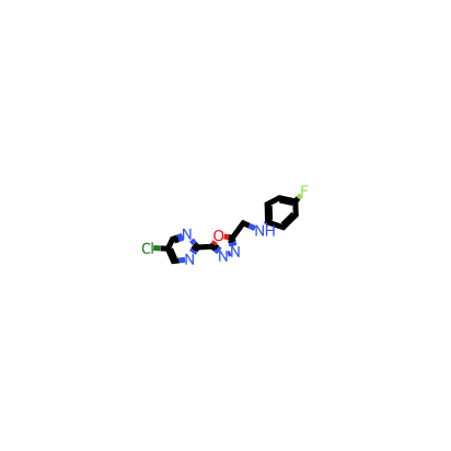 Fc1ccc(NCc2nnc(-c3ncc(Cl)cn3)o2)cc1